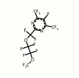 Fc1c(C(F)(F)F)nc(C(F)(F)OC(F)(F)C(F)(F)OC(F)(F)F)nc1C(F)(F)F